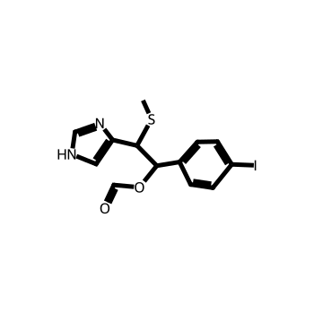 CSC(c1c[nH]cn1)C(OC=O)c1ccc(I)cc1